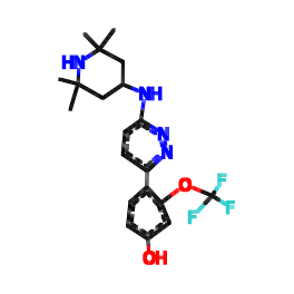 CC1(C)CC(Nc2ccc(-c3ccc(O)cc3OC(F)(F)F)nn2)CC(C)(C)N1